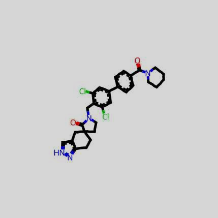 O=C(c1ccc(-c2cc(Cl)c(CN3CCC4(CCc5n[nH]cc5C4)C3=O)c(Cl)c2)cc1)N1CCCCC1